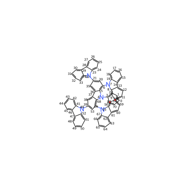 c1ccc(-n2c3c(-n4c5ccccc5c5ccccc54)cc(-n4c5ccccc5c5ccccc54)cc3c3cc(-n4c5ccccc5c5ccccc54)cc(-n4c5ccccc5c5ccccc54)c32)cc1